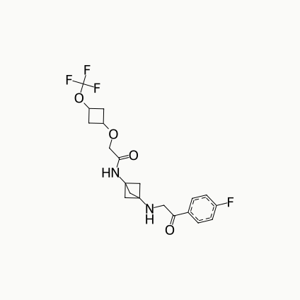 O=C(COC1CC(OC(F)(F)F)C1)NC12CC(NCC(=O)c3ccc(F)cc3)(C1)C2